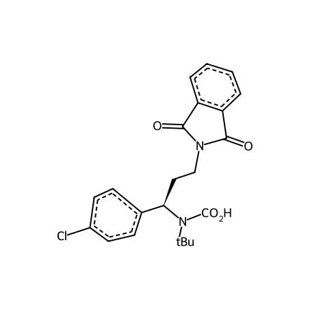 CC(C)(C)N(C(=O)O)[C@H](CCN1C(=O)c2ccccc2C1=O)c1ccc(Cl)cc1